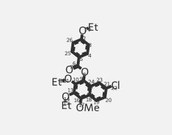 CCOc1ccc(C(=O)Oc2c(OCC)c(OCC)c(OC)c3ccc(Cl)cc23)cc1